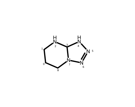 C1CNC2NN=NN2C1